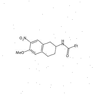 CCC(=O)NC1CCc2cc(OC)c([N+](=O)[O-])cc2C1